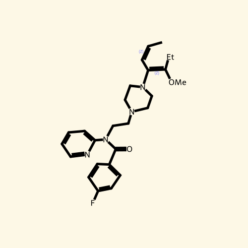 C/C=C\C(=C(/CC)OC)N1CCN(CCN(C(=O)c2ccc(F)cc2)c2ccccn2)CC1